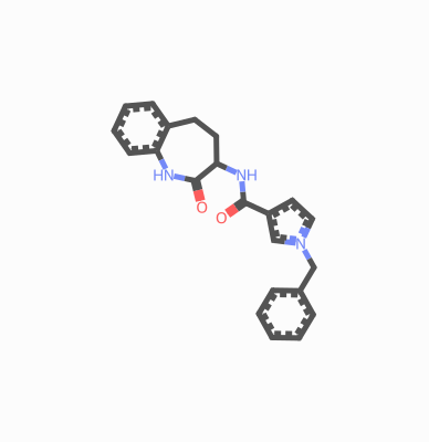 O=C(NC1CCc2ccccc2NC1=O)c1ccn(Cc2ccccc2)c1